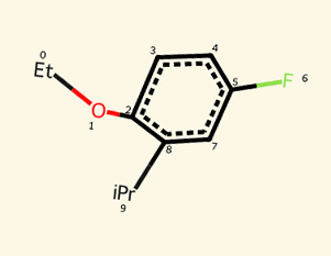 CCOc1ccc(F)cc1C(C)C